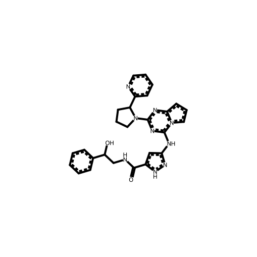 O=C(NCC(O)c1ccccc1)c1cc(Nc2nc(N3CCCC3c3ccccn3)nc3cccn23)n[nH]1